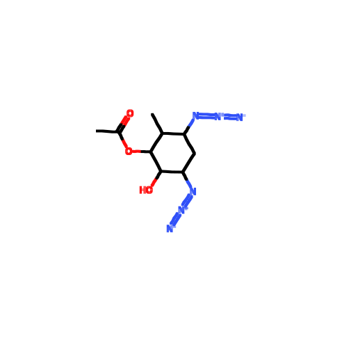 CC(=O)OC1C(C)C(N=[N+]=[N-])CC(N=[N+]=[N-])C1O